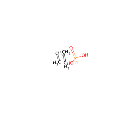 C=C.C=C.O=[PH](O)O